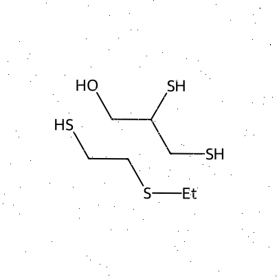 CCSCCS.OCC(S)CS